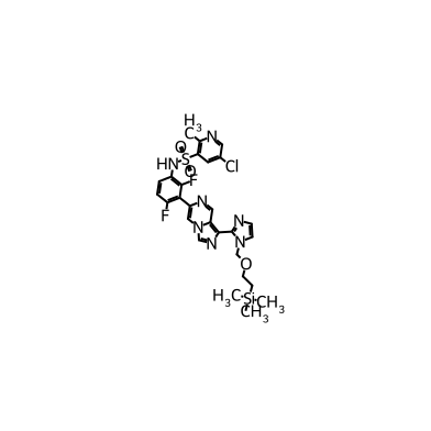 Cc1ncc(Cl)cc1S(=O)(=O)Nc1ccc(F)c(-c2cn3cnc(-c4nccn4COCC[Si](C)(C)C)c3cn2)c1F